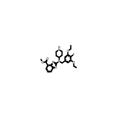 CCOc1cc(CN(c2nc3c(C(=O)OC)cccc3o2)C2CCNCC2)cc(OCC)c1F